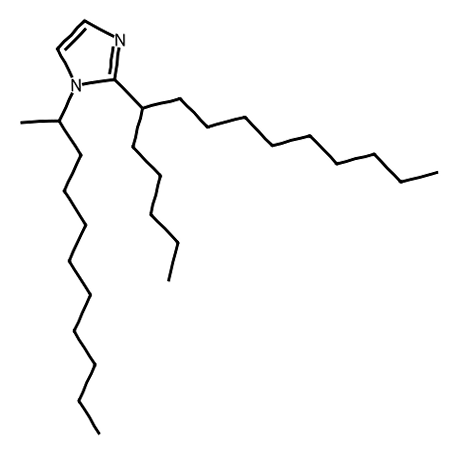 CCCCCCCCCC(CCCCC)c1nccn1C(C)CCCCCCCCC